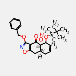 CC(C)(C)[Si](C)(C)OC1C=CC[C@H]2Cc3onc(OCc4ccccc4)c3C(=O)[C@@]12O